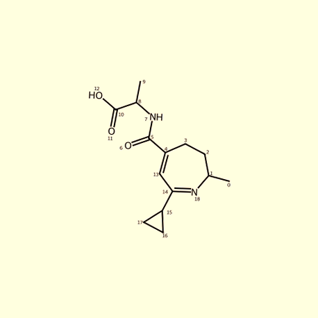 CC1CCC(C(=O)NC(C)C(=O)O)=CC(C2CC2)=N1